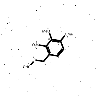 COc1ccc(COC=O)c([N+](=O)[O-])c1OC